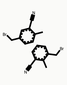 Cc1c(C#N)cccc1CBr.Cc1ccc(CBr)cc1C#N